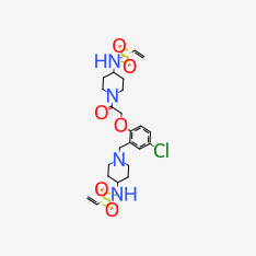 C=CS(=O)(=O)NC1CCN(Cc2cc(Cl)ccc2OCC(=O)N2CCC(NS(=O)(=O)C=C)CC2)CC1